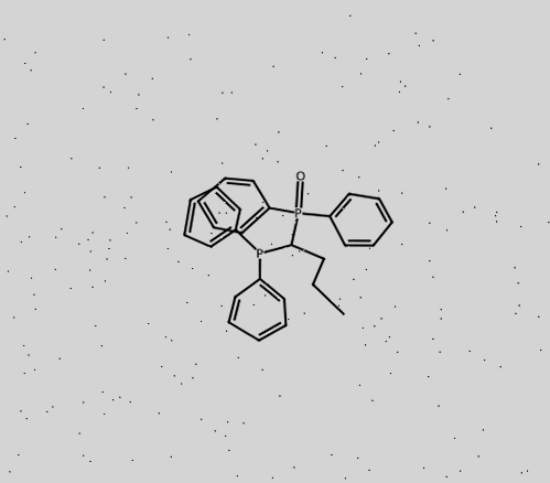 CCCC(P(c1ccccc1)c1ccccc1)P(=O)(c1ccccc1)c1ccccc1